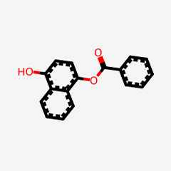 O=C(Oc1ccc(O)c2ccccc12)c1ccccc1